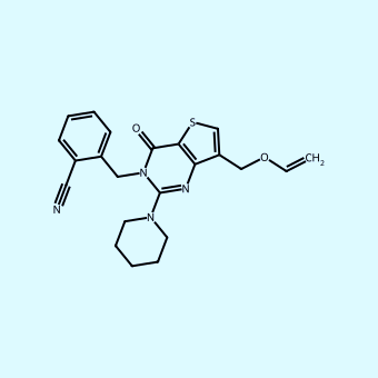 C=COCc1csc2c(=O)n(Cc3ccccc3C#N)c(N3CCCCC3)nc12